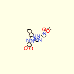 COc1cc2nc(-c3ccc4ccccc4c3)n(-c3ccnc(NC4CCCN(C(=O)OC(C)(C)C)C4)n3)c2cc1OC